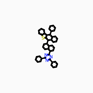 c1ccc(-c2nc(-c3ccccc3)nc(-c3cccc4c(-c5c6ccccc6c(-c6ccccc6)c6c5sc5ccccc56)cccc34)n2)cc1